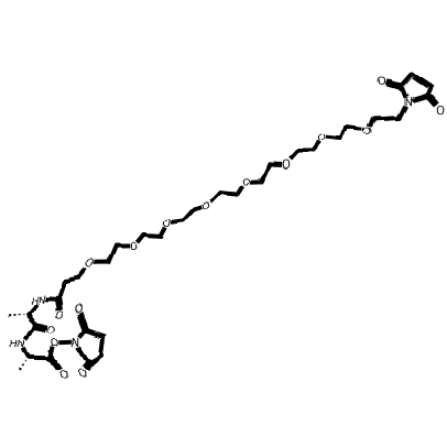 C[C@H](NC(=O)CCOCCOCCOCCOCCOCCOCCOCCOCCN1C(=O)C=CC1=O)C(=O)N[C@@H](C)C(=O)ON1C(=O)CCC1=O